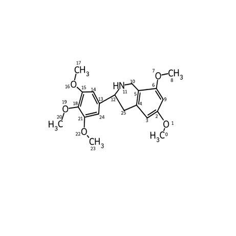 COc1cc2c(c(OC)c1)CNC(c1cc(OC)c(OC)c(OC)c1)C2